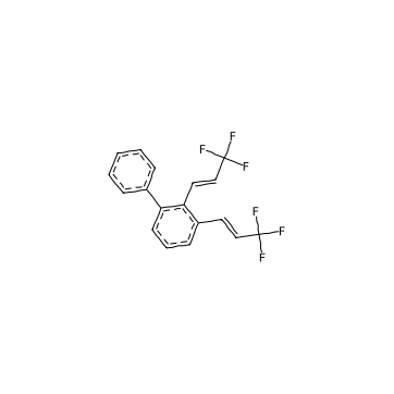 FC(F)(F)C=Cc1cccc(-c2ccccc2)c1C=CC(F)(F)F